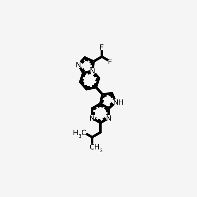 CC(C)Cc1ncc2c(-c3ccc4ncc(C(F)F)n4c3)c[nH]c2n1